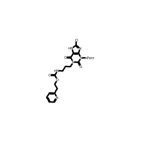 CCCCCn1c(=O)n(CCCNC(=O)OCCc2ccccn2)c(=O)c2[nH]c(Cl)nc21